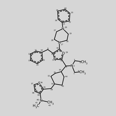 CCN(CC)C(c1nc(Cc2ccccc2)c(N2CCN(c3ccccc3)CC2)o1)C1CCC(Cc2sccc2N(C)C)CC1